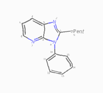 [CH2]CCCCc1nc2cccnc2n1-c1ccccc1